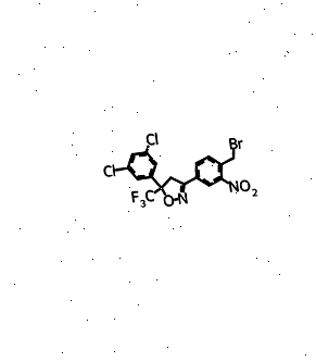 O=[N+]([O-])c1cc(C2=NOC(c3cc(Cl)cc(Cl)c3)(C(F)(F)F)C2)ccc1CBr